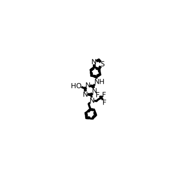 Oc1nc(Nc2ccc3ncsc3c2)nc(N(Cc2ccccc2)CC(F)(F)F)n1